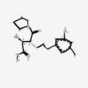 Cc1cc(CCC[C@@H](C(=O)N2CCCC2)[C@H](O)C(=O)NO)cc(C(F)(F)F)c1